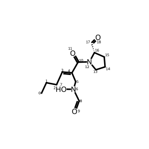 CCC/C=C(\CN(O)C=O)C(=O)N1CCC[C@H]1C=O